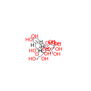 COC(=O)CC[C@@H](C)[C@H]1CC[C@H]2[C@H]3[C@H](C[C@@](O)([C@@H]4O[C@H](CO)[C@@H](O)[C@H](O)[C@H]4O)[C@]12C)[C@@]1(C)CCC(O)(O)C[C@@H]1C[C@]3(O)C1O[C@H](CO)[C@@H](O)[C@H](O)[C@H]1O